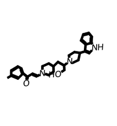 Cc1cccc(C(=O)C=CN2CCC(CC(CO)N3CCC(c4c[nH]c5ccccc45)CC3)CC2)c1